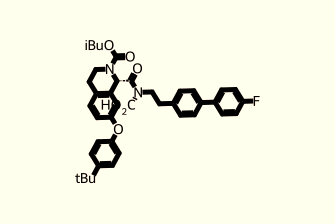 CC(C)COC(=O)N1CCc2ccc(Oc3ccc(C(C)(C)C)cc3)cc2[C@H]1C(=O)N(CCc1ccc(-c2ccc(F)cc2)cc1)C(=O)O